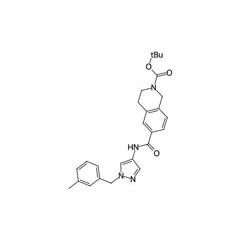 Cc1cccc(Cn2cc(NC(=O)c3ccc4c(c3)CCN(C(=O)OC(C)(C)C)C4)cn2)c1